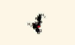 C[C@]1(C(N)=O)COc2c1cc(C(O)(CNC(=O)c1cc(F)c3nc(N)sc3c1)C(F)(F)F)nc2-c1ccc(Cl)c(Cl)c1